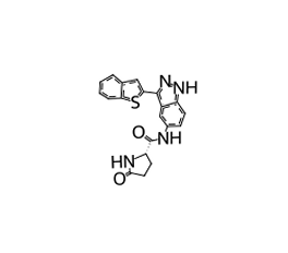 O=C1CC[C@@H](C(=O)Nc2ccc3[nH]nc(-c4cc5ccccc5s4)c3c2)N1